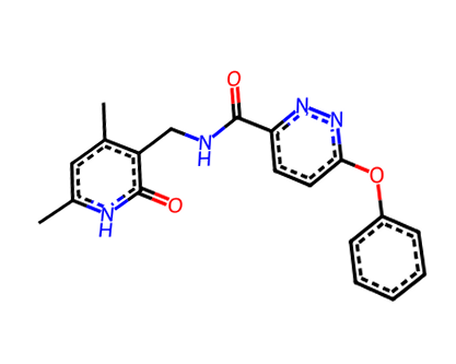 Cc1cc(C)c(CNC(=O)c2ccc(Oc3ccccc3)nn2)c(=O)[nH]1